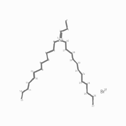 CCC=[N+](CCCCCCCCCCCC)CCCCCCCCCCCC.[Br-]